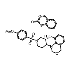 COc1ccc(S(=O)(=O)N2CCC(N3COCc4cccc(C)c43)CC2)cc1.O=c1nc2ccccc2co1